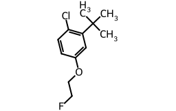 CC(C)(C)c1cc(OCCF)ccc1Cl